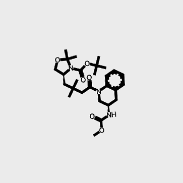 COC(=O)N[C@@H]1Cc2ccccc2N(C(=O)CC(C)(C)C[C@H]2COC(C)(C)N2C(=O)OC(C)(C)C)C1